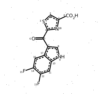 O=C(O)c1csc(C(=O)c2c[nH]c3cc(F)c(F)cc23)n1